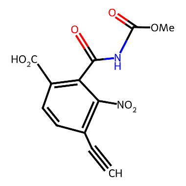 C#Cc1ccc(C(=O)O)c(C(=O)NC(=O)OC)c1[N+](=O)[O-]